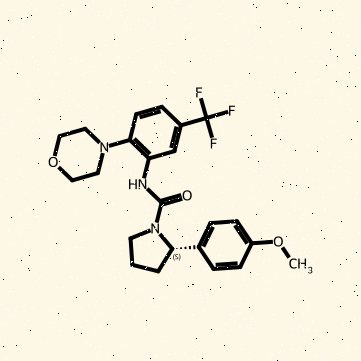 COc1ccc([C@@H]2CCCN2C(=O)Nc2cc(C(F)(F)F)ccc2N2CCOCC2)cc1